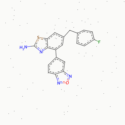 Nc1nc2c(-c3ccc4nonc4c3)cc(Cc3ccc(F)cc3)cc2s1